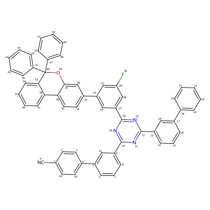 N#Cc1ccc(-c2cccc(-c3nc(-c4cccc(-c5ccccc5)c4)nc(-c4cc(F)cc(-c5ccc6c(c5)OC(c5ccccc5)(c5ccccc5)c5ccccc5-6)c4)n3)c2)cc1